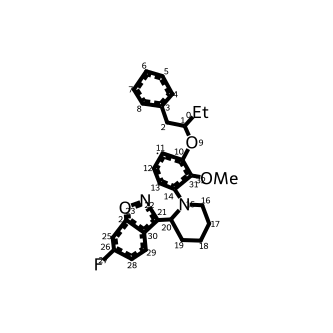 CCC(Cc1ccccc1)Oc1[c]ccc(N2CCCCC2c2noc3cc(F)ccc23)c1OC